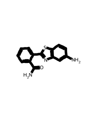 NC(=O)c1ccccc1-c1nc2cc(N)ccc2s1